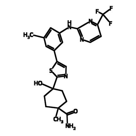 Cc1cc(Nc2nccc(C(F)(F)F)n2)cc(-c2cnc(C3(O)CCC(C)(C(N)=O)CC3)s2)c1